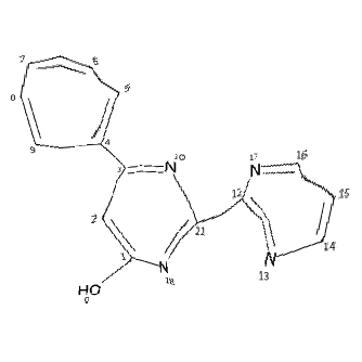 Oc1cc(-c2ccccc2)nc(-c2ncccn2)n1